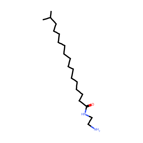 CC(C)CCCCCCCCCCCCCCC(=O)NCCN